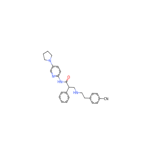 N#Cc1ccc(CCNCC(C(=O)Nc2ccc(N3CCCC3)cn2)c2ccccc2)cc1